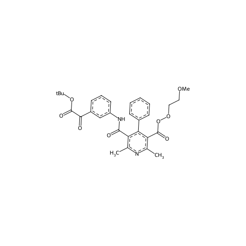 COCCOOC(=O)c1c(C)nc(C)c(C(=O)Nc2cccc(C(=O)C(=O)OC(C)(C)C)c2)c1-c1ccccc1